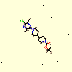 Cc1nc(N2CCC(C3CCN(C(=O)OC(C)(C)C)CC3)CC2)c(C)nc1Cl